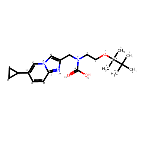 CC(C)(C)[Si](C)(C)OCCN(Cc1cn2cc(C3CC3)ccc2n1)C(=O)O